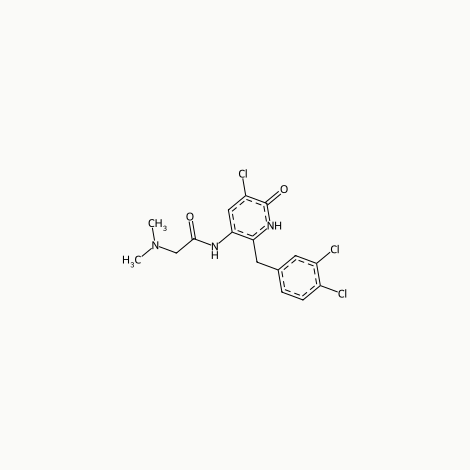 CN(C)CC(=O)Nc1cc(Cl)c(=O)[nH]c1Cc1ccc(Cl)c(Cl)c1